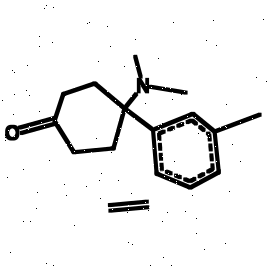 C=C.Cc1cccc(C2(N(C)C)CCC(=O)CC2)c1